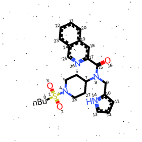 CCCCS(=O)(=O)N1CCC(N(Cc2ccc[nH]2)C(=O)c2cc3ccccc3cn2)CC1